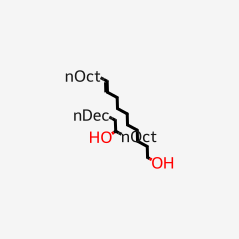 CCCCCCCCC=CCCCCCCCCO.CCCCCCCCCCCC(O)CCCCCCCC